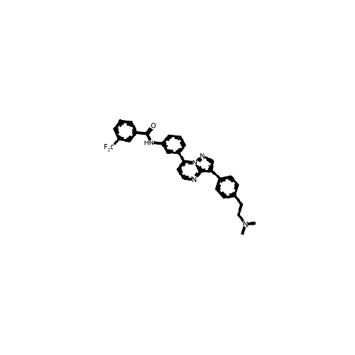 CN(C)CCc1ccc(-c2cnn3c(-c4cccc(NC(=O)c5cccc(C(F)(F)F)c5)c4)ccnc23)cc1